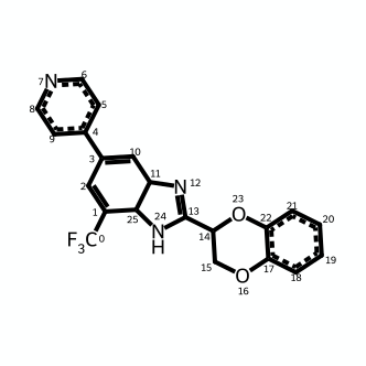 FC(F)(F)C1=CC(c2ccncc2)=CC2N=C(C3COc4ccccc4O3)NC12